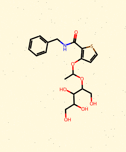 CC(Oc1ccsc1C(=O)NCc1ccccc1)OC(CO)C(O)C(O)CO